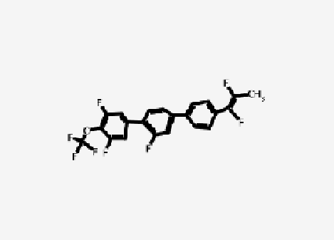 C/C(F)=C(\F)c1ccc(-c2ccc(-c3cc(F)c(OC(F)(F)F)c(F)c3)c(F)c2)cc1